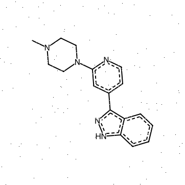 CN1CCN(c2cc(-c3n[nH]c4ccccc34)ccn2)CC1